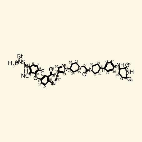 CCN(C)SNc1ccc(F)c(Oc2ccc3ncn(-c4cnn(C5CCN(CC(=O)N6CCC(c7ccc(NC8CCC(=O)NC8=O)cc7)CC6)CC5)c4)c(=O)c3c2)c1C#N